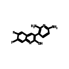 Nc1ccc(-c2cc3cc(F)c(F)cc3nc2O)c(N)n1